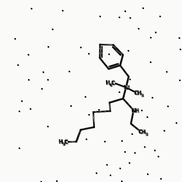 CCCCCCCC(NCC)[N+](C)(C)Cc1ccccc1